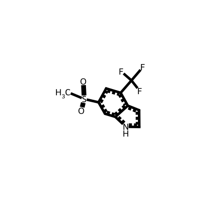 CS(=O)(=O)c1cc(C(F)(F)F)c2cc[nH]c2c1